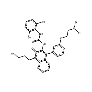 CCN(CC)CCOc1cccc(-c2c(NC(=O)Nc3c(C(C)C)cccc3C(C)C)c(=O)n(CCCC#N)c3ncccc23)c1